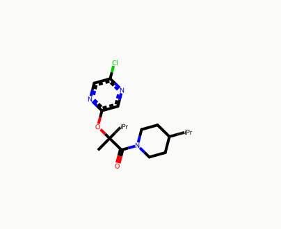 CC(C)C1CCN(C(=O)C(C)(Oc2cnc(Cl)cn2)C(C)C)CC1